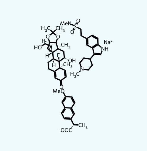 CC1(C)O[C@@H]2C[C@H]3[C@@H]4CCC5=CC(=O)C=C[C@]5(C)[C@@]4(F)[C@@H](O)C[C@]3(C)[C@]2(C(=O)CO)O1.CNS(=O)(=O)CCc1ccc2[nH]cc(C3CCN(C)CC3)c2c1.COc1ccc2cc([C@H](C)C(=O)[O-])ccc2c1.[Na+]